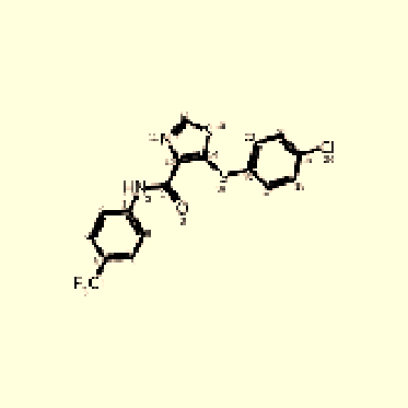 O=C(Nc1ccc(C(F)(F)F)cc1)c1ncsc1Sc1ccc(Cl)cc1